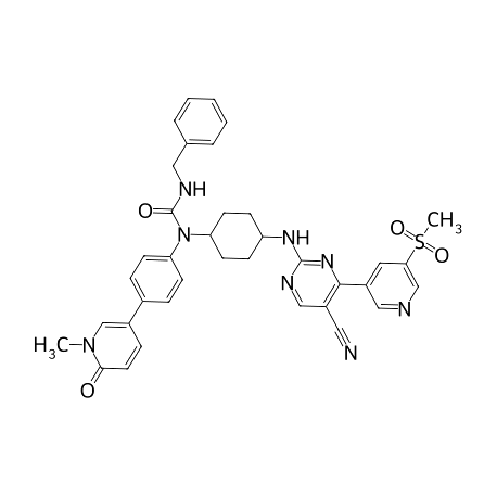 Cn1cc(-c2ccc(N(C(=O)NCc3ccccc3)C3CCC(Nc4ncc(C#N)c(-c5cncc(S(C)(=O)=O)c5)n4)CC3)cc2)ccc1=O